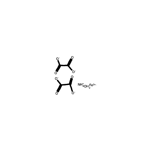 O.O=C([O-])C(=O)[O-].O=C([O-])C(=O)[O-].[Fe+3].[NH4+]